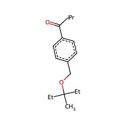 CCC(C)(CC)OCc1ccc(C(=O)C(C)C)cc1